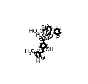 CCC(CC)(C(=O)O)[C@H]1CC[C@@H](c2cccc(F)c2)N1C(=O)[C@@H](C)NC(=O)c1ccc(Cc2cc(C)n[nH]c2=O)c(O)c1